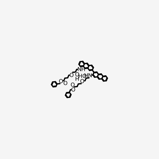 O=C(CCCOCC(O)CNc1cc2cc3ccccc3cc2cc1-c1ccc2cc3cccc(NCC(O)COCCCC(=O)OCc4ccccc4)c3cc2c1)OCc1ccccc1